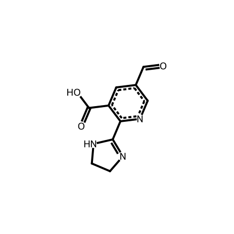 O=Cc1cnc(C2=NCCN2)c(C(=O)O)c1